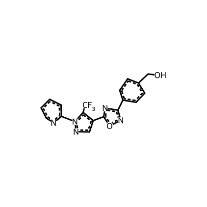 OCc1ccc(-c2noc(-c3cnn(-c4ccccn4)c3C(F)(F)F)n2)cc1